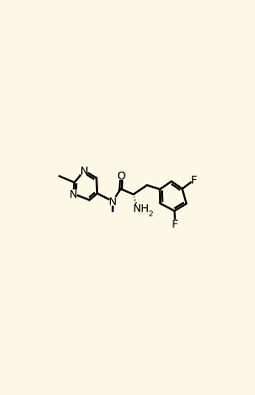 Cc1ncc(N(C)C(=O)[C@@H](N)Cc2cc(F)cc(F)c2)cn1